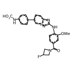 COc1cc(C(=O)N2CC(F)C2)ccc1Nc1nc2ccc(-c3ccc(NC(=O)O)cc3)cn2n1